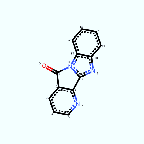 O=C1c2cccnc2-c2nc3ccccc3n21